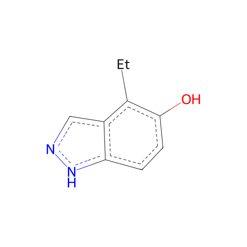 CCc1c(O)ccc2[nH]ncc12